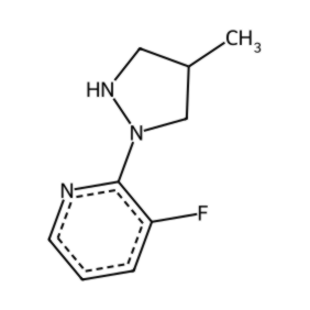 CC1CNN(c2ncccc2F)C1